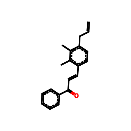 C=CCc1ccc(C=CC(=O)c2ccccc2)c(C)c1C